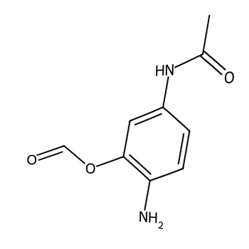 CC(=O)Nc1ccc(N)c(OC=O)c1